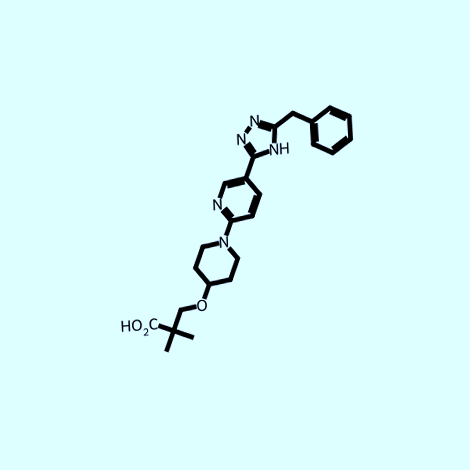 CC(C)(COC1CCN(c2ccc(-c3nnc(Cc4ccccc4)[nH]3)cn2)CC1)C(=O)O